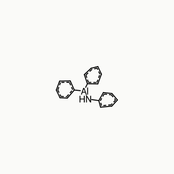 c1ccc([NH][Al]([c]2ccccc2)[c]2ccccc2)cc1